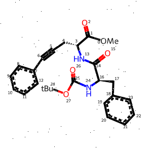 COC(=O)[C@@H](CC#Cc1ccccc1)NC(=O)[C@@H](Cc1ccccc1)NC(=O)OC(C)(C)C